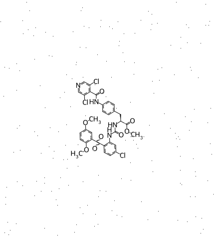 COC(=O)[C@H](Cc1ccc(NC(=O)c2c(Cl)cncc2Cl)cc1)NC(=O)Nc1cc(Cl)ccc1S(=O)(=O)c1cc(OC)ccc1OC